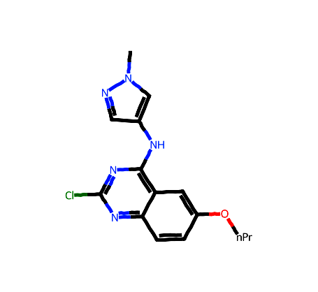 CCCOc1ccc2nc(Cl)nc(Nc3cnn(C)c3)c2c1